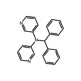 c1ccc(C(c2ccccc2)N(c2cccnc2)c2cccnc2)cc1